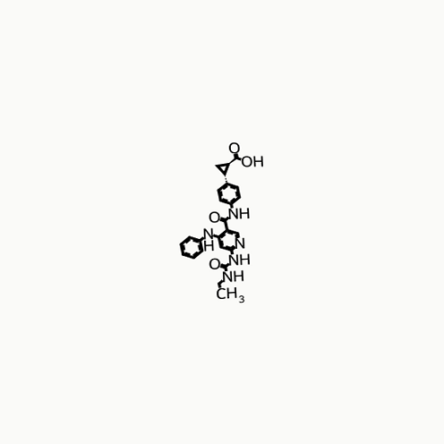 CCNC(=O)Nc1cc(Nc2ccccc2)c(C(=O)Nc2ccc([C@@H]3C[C@H]3C(=O)O)cc2)cn1